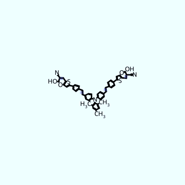 Cc1cc(C)c(N(c2ccc(/C=C/c3ccc(-c4ccc(/C=C(/C#N)C(=O)O)s4)cc3)cc2)c2ccc(/C=C/c3ccc(-c4ccc(/C=C(/C#N)C(=O)O)s4)cc3)cc2)c(C)c1